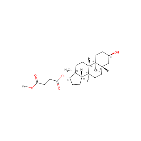 CC(C)OC(=O)CCC(=O)O[C@H]1CC[C@H]2[C@@H]3CC[C@H]4C[C@H](O)CC[C@]4(C)[C@H]3CC[C@]12C